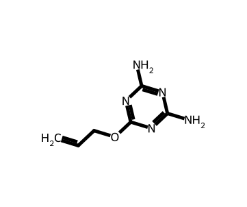 C=CCOc1nc(N)nc(N)n1